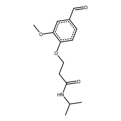 COc1cc(C=O)ccc1OCCC(=O)NC(C)C